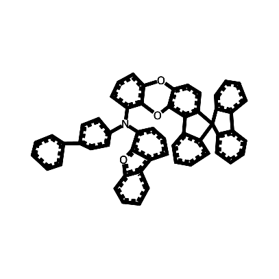 c1ccc(-c2ccc(N(c3cccc4c3Oc3c(ccc5c3-c3ccccc3C53c5ccccc5-c5ccccc53)O4)c3cccc4c3oc3ccccc34)cc2)cc1